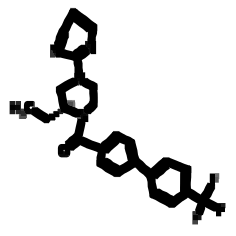 CC[C@@H]1CN(c2ncccn2)CCN1C(=O)c1ccc(-c2ccc(C(F)(F)F)cc2)cc1